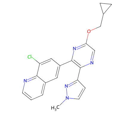 Cn1ccc(-c2ncc(OCC3CC3)nc2-c2cc(Cl)c3ncccc3c2)n1